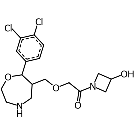 O=C(COCC1CNCCOC1c1ccc(Cl)c(Cl)c1)N1CC(O)C1